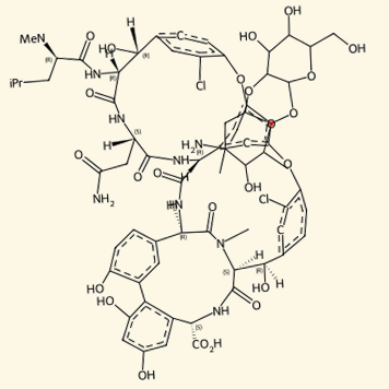 CN[C@H](CC(C)C)C(=O)N[C@H]1C(=O)N[C@@H](CC(N)=O)C(=O)N[C@H]2C(=O)N[C@H]3C(=O)N(C)[C@H](C(=O)N[C@H](C(=O)O)c4cc(O)cc(O)c4-c4cc3ccc4O)[C@H](O)c3ccc(c(Cl)c3)Oc3cc2cc(c3OC2OC(CO)C(O)C(O)C2OC2CC(C)(N)C(O)C(C)O2)Oc2ccc(cc2Cl)[C@H]1O